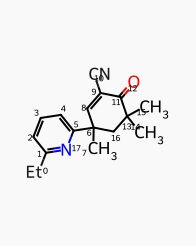 CCc1cccc(C2(C)C=C(C#N)C(=O)C(C)(C)C2)n1